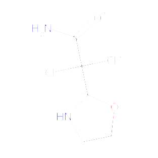 NC(=O)C(Cl)(Cl)C1NCCO1